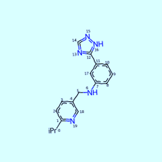 CC(C)c1ccc(CNc2cccc(-c3ncn[nH]3)c2)cn1